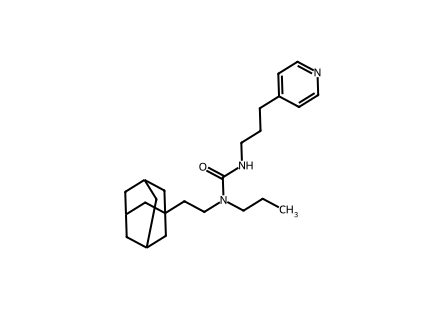 CCCN(CCC12CC3CC(CC(C3)C1)C2)C(=O)NCCCc1ccncc1